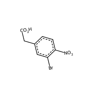 O=C(O)Cc1ccc([N+](=O)[O-])c(Br)c1